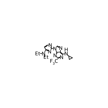 CCN(CC)c1ccnc(-n2cnc3c(NC4CC4)nc(C(F)(F)F)nc32)n1